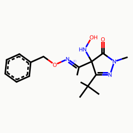 C/C(=N\OCc1ccccc1)C1(NO)C(=O)N(C)N=C1C(C)(C)C